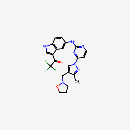 Cc1nn(-c2ccnc(Nc3ccc4[nH]cc(C(=O)C(F)(F)F)c4c3)n2)cc1CN1CCCO1